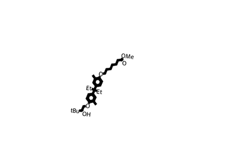 CCC(CC)(c1ccc(OCCCCCCC(=O)OC)c(C)c1)c1ccc(OCC(O)C(C)(C)C)c(C)c1